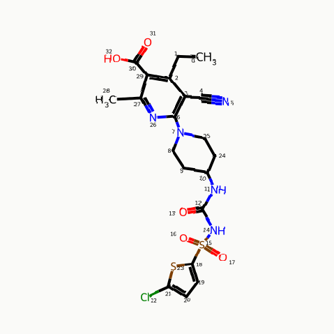 CCc1c(C#N)c(N2CCC(NC(=O)NS(=O)(=O)c3ccc(Cl)s3)CC2)nc(C)c1C(=O)O